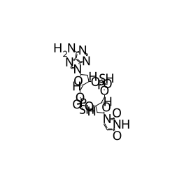 Nc1ncnc2c1ncn2[C@H]1C[C@@H]2OP(=O)(S)OC[C@H]3O[C@@H](n4ccc(=O)[nH]c4=O)C[C@@H]3OP(=O)(S)OC[C@H]2O1